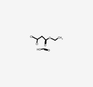 CCOC(=O)CC(Cl)Cl.O=CO